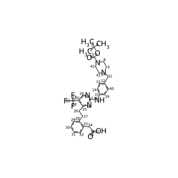 CC(C)(C)OC(=O)N1CCN(Cc2ccc(Nc3ncc(C(F)(F)F)c(CCc4ccccc4CC(=O)O)n3)cc2)CC1